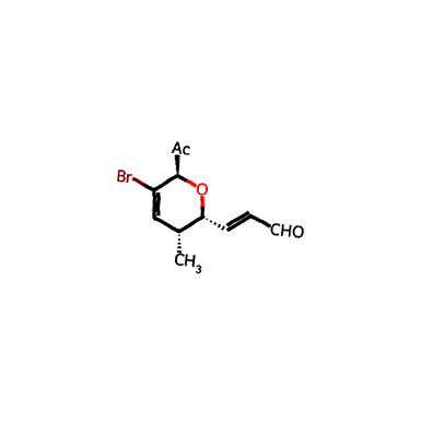 CC(=O)[C@H]1O[C@H](/C=C/C=O)[C@H](C)C=C1Br